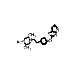 CC(=O)N1C[C@H](C)N(CCc2ccc(Oc3nc4ncccc4s3)cc2)C[C@@H]1C